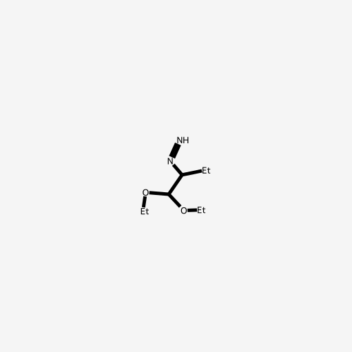 CCOC(OCC)C(CC)N=N